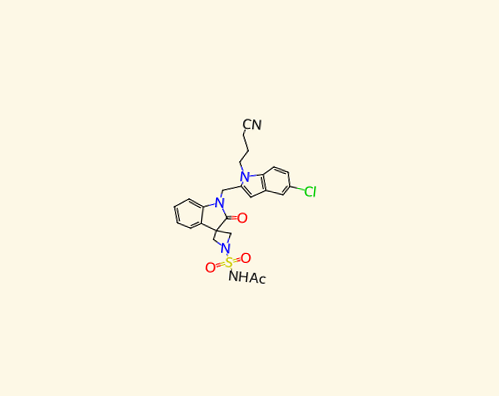 CC(=O)NS(=O)(=O)N1CC2(C1)C(=O)N(Cc1cc3cc(Cl)ccc3n1CCCC#N)c1ccccc12